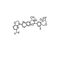 C[C@H](NC(=O)c1cc(F)c2c(c1)S(=O)(=O)[C@@H](F)COC2)c1cc2nc(N3CCOc4ccc(C(F)F)nc43)ccc2cn1